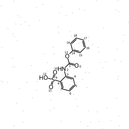 O=C(Nc1ccccc1S(=O)(=O)O)Oc1ccccc1